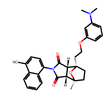 CN(C)c1cccc(OCC[C@]23CC[C@](C)(O2)[C@@H]2C(=O)N(c4ccc(C#N)c5ccccc45)C(=O)[C@@H]23)c1